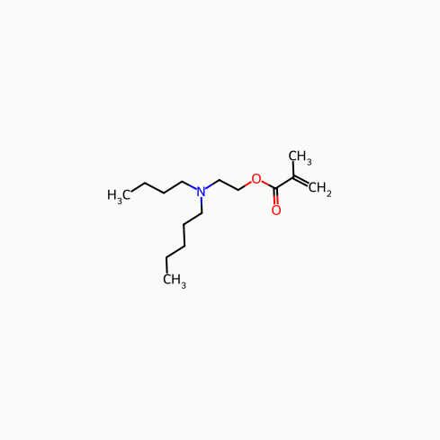 C=C(C)C(=O)OCCN(CCCC)CCCCC